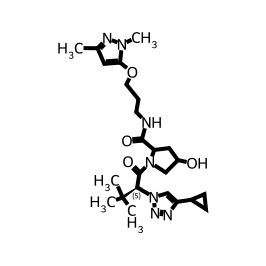 Cc1cc(OCCCNC(=O)C2CC(O)CN2C(=O)[C@@H](n2cc(C3CC3)nn2)C(C)(C)C)n(C)n1